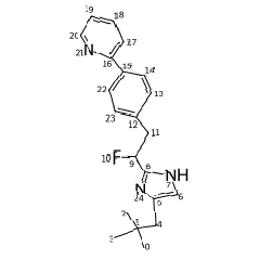 CC(C)(C)Cc1c[nH]c(C(F)Cc2ccc(-c3ccccn3)cc2)n1